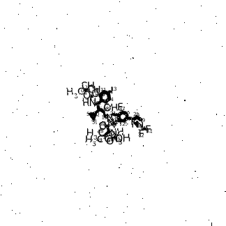 CC(C)(C)OC(=O)NC(c1ccc(I)cc1)C(C(O)CN(Cc1c(F)cc(-c2ccn(C(F)F)n2)cc1F)NC(=O)C(NC(=O)O)C(C)(C)C)C1CC1